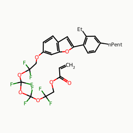 C=CC(=O)OCC(F)(F)OC(F)(F)OC(F)(F)OC(F)(F)COc1ccc2cc(-c3ccc(CCCCC)cc3CC)oc2c1